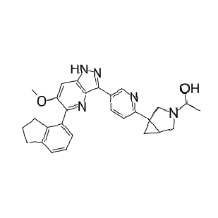 COc1cc2[nH]nc(-c3ccc(C45CC4CN(C(C)O)C5)nc3)c2nc1-c1cccc2c1CCC2